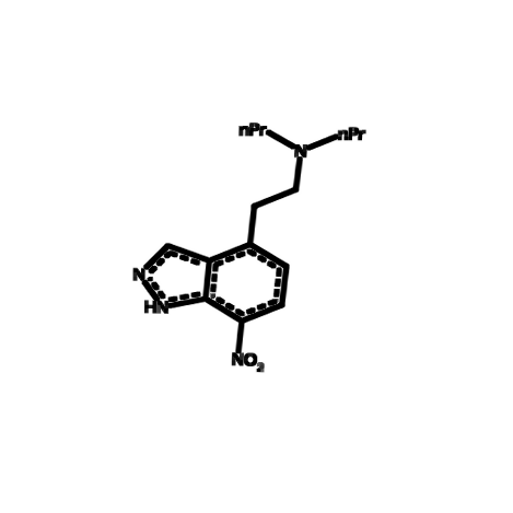 CCCN(CCC)CCc1ccc([N+](=O)[O-])c2[nH]ncc12